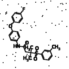 Cc1cccc(S(=O)(=O)C(C)(C)CC(=O)Nc2ccc(Oc3ccc(F)cc3)cc2)c1